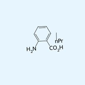 CCCC.Nc1ccccc1C(=O)O